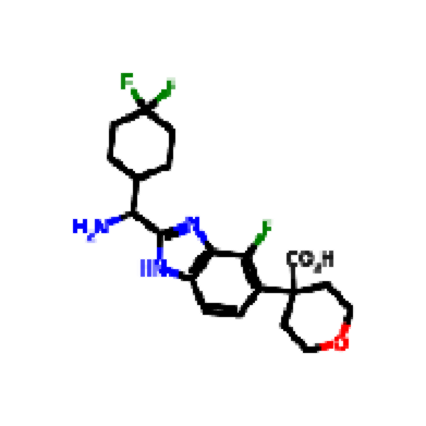 N[C@H](c1nc2c(F)c(C3(C(=O)O)CCOCC3)ccc2[nH]1)C1CCC(F)(F)CC1